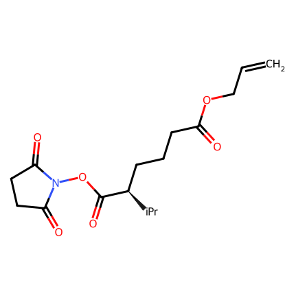 C=CCOC(=O)CCC[C@H](C(=O)ON1C(=O)CCC1=O)C(C)C